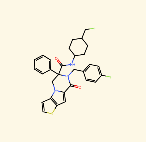 O=C1c2cc3sccc3n2CC(C(=O)NC2CCC(CF)CC2)(c2ccccc2)N1Cc1ccc(F)cc1